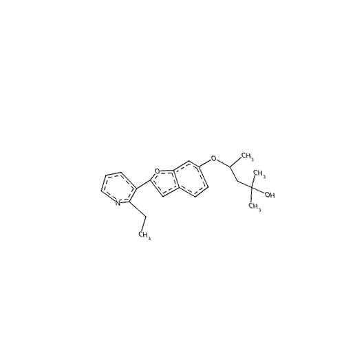 CCc1ncccc1-c1cc2ccc(OC(C)CC(C)(C)O)cc2o1